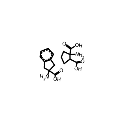 NC1(C(=O)O)CCCC1C(=O)O.NC1(C(=O)O)Cc2ccccc2C1